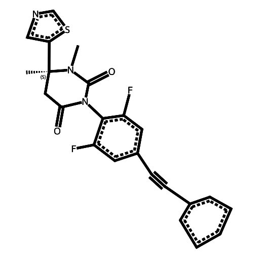 CN1C(=O)N(c2c(F)cc(C#Cc3ccccc3)cc2F)C(=O)C[C@@]1(C)c1cncs1